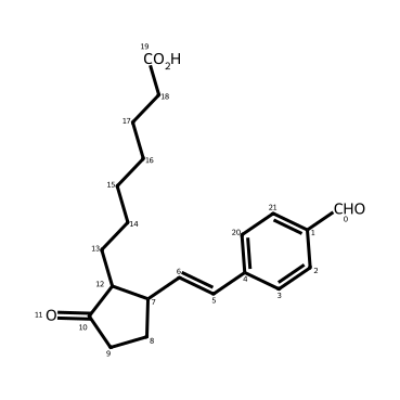 O=Cc1ccc(C=CC2CCC(=O)C2CCCCCCC(=O)O)cc1